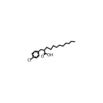 CCCCCCCCCCC(Cc1ccc(Cl)cc1)C(=O)O